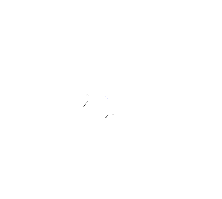 C[C@H](c1ccccc1)N1CCCC[C@@H]1C(F)F